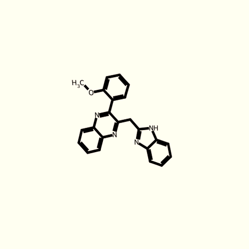 COc1ccccc1-c1nc2ccccc2nc1Cc1nc2ccccc2[nH]1